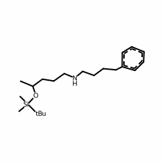 CC(CCCNCCCCc1ccccc1)O[Si](C)(C)C(C)(C)C